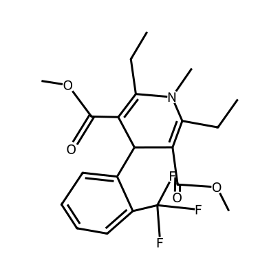 CCC1=C(C(=O)OC)C(c2ccccc2C(F)(F)F)C(C(=O)OC)=C(CC)N1C